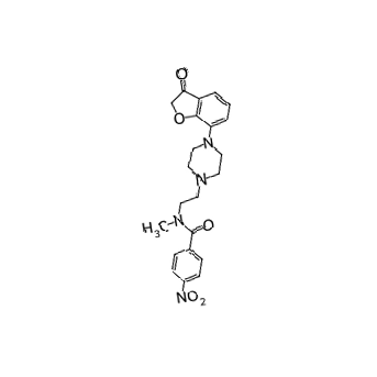 CN(CCN1CCN(c2cccc3c2OCC3=O)CC1)C(=O)c1ccc([N+](=O)[O-])cc1